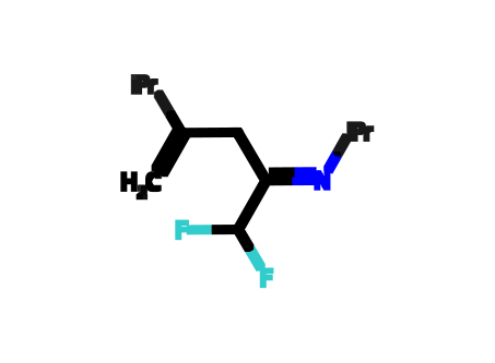 C=C(C/C(=N\C(C)C)C(F)F)C(C)C